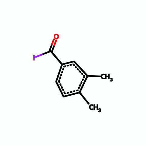 Cc1ccc(C(=O)I)cc1C